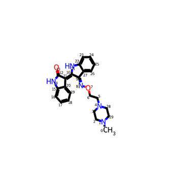 CN1CCN(CCO/N=C2/C(=C3/C(=O)Nc4ccccc43)Nc3ccccc32)CC1